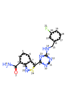 NC(=O)c1cccc2c(-c3ncnc(NCc4cccc(F)c4)n3)snc12